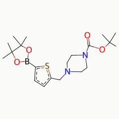 CC(C)(C)OC(=O)N1CCN(Cc2ccc(B3OC(C)(C)C(C)(C)O3)s2)CC1